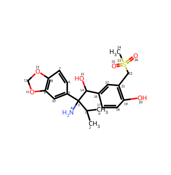 CC(C)C(N)(c1ccc2c(c1)OCO2)C(O)c1ccc(O)c(CS(C)(=O)=O)c1